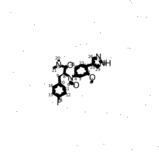 COc1cc(N(C=O)[C@@H](Cc2ccc(F)cc2)C(=O)N(C)C)ccc1-c1cn[nH]c1